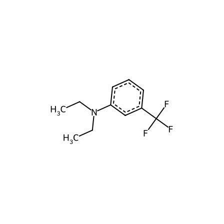 CCN(CC)c1cccc(C(F)(F)F)c1